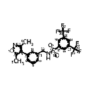 Cc1noc(C)c1-c1cccc(CNS(=O)(=O)c2cc(C(F)(F)F)cc(C(F)(F)F)c2)c1